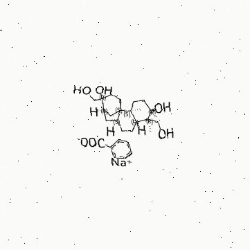 C[C@@]1(CO)[C@H](O)CC[C@@]2(C)[C@H]1CC[C@H]1C[C@@H]3C[C@@]12CC[C@]3(O)CO.O=C([O-])c1ccccc1.[Na+]